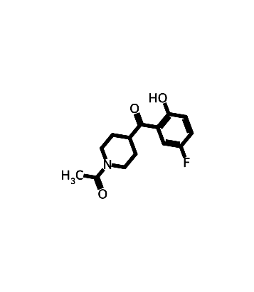 CC(=O)N1CCC(C(=O)c2cc(F)ccc2O)CC1